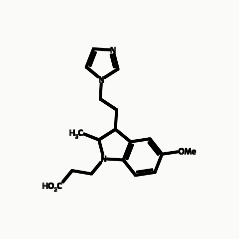 COc1ccc2c(c1)C(CCn1ccnc1)C(C)N2CCC(=O)O